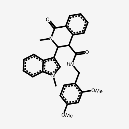 COc1ccc(CNC(=O)C2c3ccccc3C(=O)N(C)C2c2cn(C)c3ccccc23)c(OC)c1